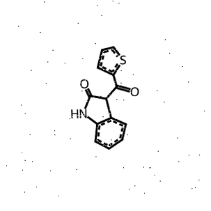 O=C1Nc2ccccc2C1C(=O)c1cccs1